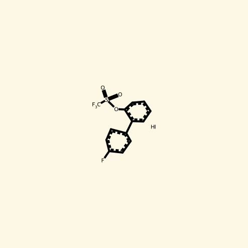 I.O=S(=O)(Oc1ccccc1-c1ccc(F)cc1)C(F)(F)F